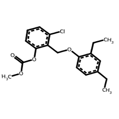 CCc1ccc(OCc2c(Cl)cccc2OC(=O)OC)c(CC)c1